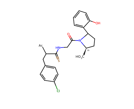 CC(=O)C(Cc1ccc(Cl)cc1)C(=S)NCC(=O)N1C(c2ccccc2O)CC[C@H]1C(=O)O